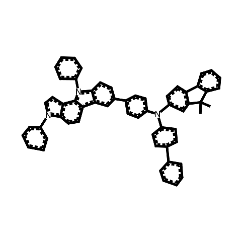 CC1(C)c2ccccc2-c2ccc(N(c3ccc(-c4ccccc4)cc3)c3ccc(-c4ccc5c(c4)c4ccc6c(ccn6-c6ccccc6)c4n5-c4ccccc4)cc3)cc21